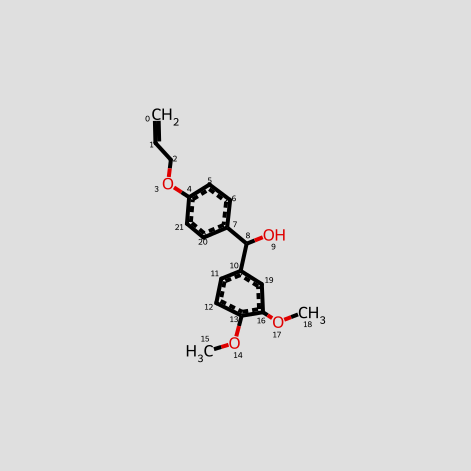 C=CCOc1ccc(C(O)c2ccc(OC)c(OC)c2)cc1